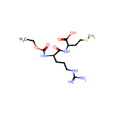 CCOC(=O)NC(CCCNC(=N)N)C(=O)NC(CCSC)C(=O)O